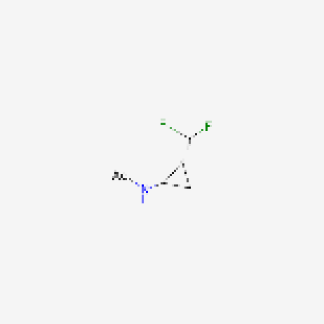 CC(=O)NC1C[C@H]1C(F)F